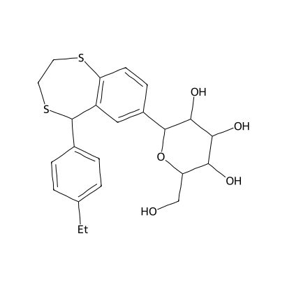 CCc1ccc(C2SCCSc3ccc(C4OC(CO)C(O)C(O)C4O)cc32)cc1